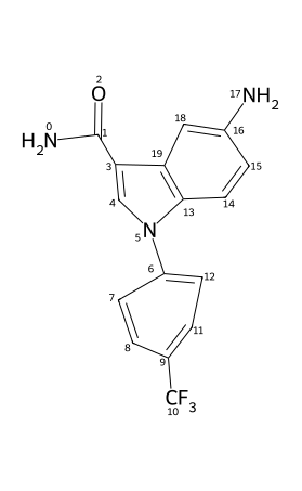 NC(=O)c1cn(-c2ccc(C(F)(F)F)cc2)c2ccc(N)cc12